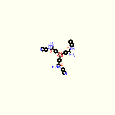 NCC(C(=O)Nc1ccc2ccccc2c1)c1ccc(B2OB(c3ccc(C(CN)C(=O)Nc4ccc5cnccc5c4)cc3)OB(c3ccc(C(CN)C(=O)Nc4ccc5cnccc5c4)cc3)O2)cc1